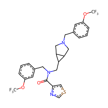 O=C(c1cscn1)N(Cc1cccc(OC(F)(F)F)c1)CC1C2CN(Cc3cccc(OC(F)(F)F)c3)CC21